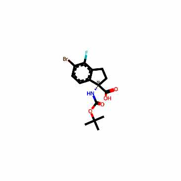 CC(C)(C)OC(=O)N[C@@]1(C(=O)O)CCc2c1ccc(Br)c2F